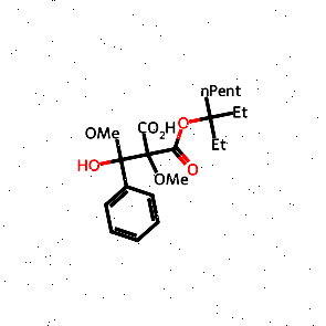 CCCCCC(CC)(CC)OC(=O)C(OC)(C(=O)O)C(O)(OC)c1ccccc1